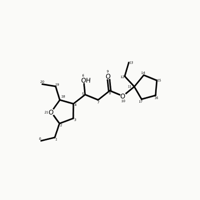 CCC1CC(C(O)CC(=O)OC2(CC)CCCC2)C(CC)O1